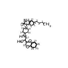 CCCCc1ccc(C(C(N)=O)N2CCC(NCC(O)C3COc4ccccc4O3)CC2)cc1